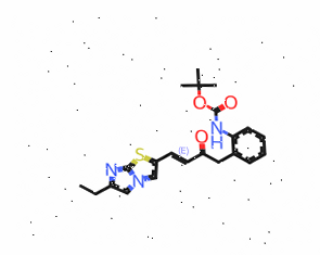 CCc1cn2cc(/C=C/C(=O)Cc3ccccc3NC(=O)OC(C)(C)C)sc2n1